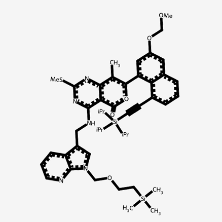 COCOc1cc(-c2oc(=O)c3c(NCc4cn(COCC[Si](C)(C)C)c5ncccc45)nc(SC)nc3c2C)c2c(C#C[Si](C(C)C)(C(C)C)C(C)C)cccc2c1